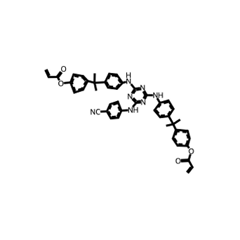 C=CC(=O)Oc1ccc(C(C)(C)c2ccc(Nc3nc(Nc4ccc(C#N)cc4)nc(Nc4ccc(C(C)(C)c5ccc(OC(=O)C=C)cc5)cc4)n3)cc2)cc1